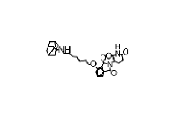 O=C1CCC(N2C(=O)c3cccc(OCCCCCCCNC45CC6CC(CC(C6)C4)C5)c3C2=O)C(=O)N1